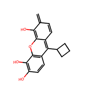 C=c1ccc2c(c1O)Oc1c(ccc(O)c1O)C=2C1CCC1